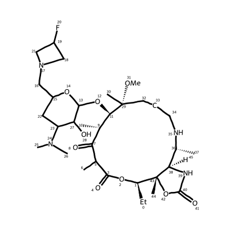 CC[C@H]1OC(=O)C(C)C(=O)[C@H](C)[C@@H](OC2OC(CN3CC(F)C3)CC(N(C)C)C2O)[C@](C)(OC)CCCN[C@H](C)[C@H]2NC(=O)O[C@@]21C